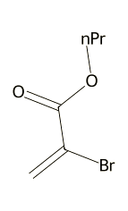 C=C(Br)C(=O)OCCC